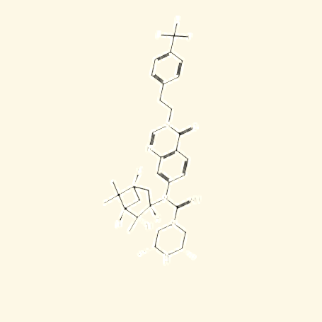 C[C@H]1[C@H]2C[C@@H](C[C@@H]1N(C(=N)N1C[C@@H](C)N[C@@H](C)C1)c1ccc3c(=O)n(CCc4ccc(C(F)(F)F)cc4)cnc3c1)C2(C)C